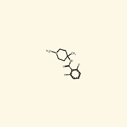 CN1CCC(C)(NC(=O)c2c(F)cccc2Cl)CC1